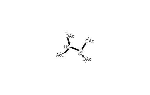 CC(=O)O[SiH](OC(C)=O)[SiH](OC(C)=O)OC(C)=O